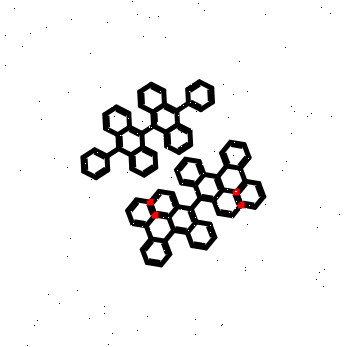 c1ccc(-c2c3ccccc3c(-c3c4ccccc4c(-c4ccccc4)c4ccccc34)c3ccccc23)cc1.c1ccc(-c2ccccc2-c2c3ccccc3c(-c3c4ccccc4c(-c4ccccc4-c4ccccc4)c4ccccc34)c3ccccc23)cc1